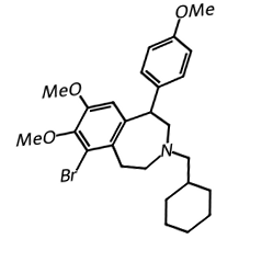 COc1ccc(C2CN(CC3CCCCC3)CCc3c2cc(OC)c(OC)c3Br)cc1